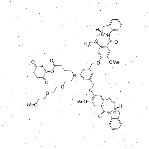 COCCOCCOCCN(CCCC(=O)ON1CC(=O)CCC1=O)c1cc(COc2cc3c(cc2OC)C(=O)N2c4ccccc4C[C@H]2C=N3)cc(COc2cc3c(cc2OC)C(=O)N2c4ccccc4C[C@H]2CN3C)c1